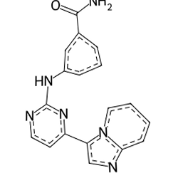 NC(=O)c1cccc(Nc2nccc(-c3cnc4ccccn34)n2)c1